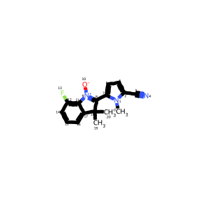 Cn1c(C#N)ccc1C1=[N+]([O-])c2c(F)cccc2C1(C)C